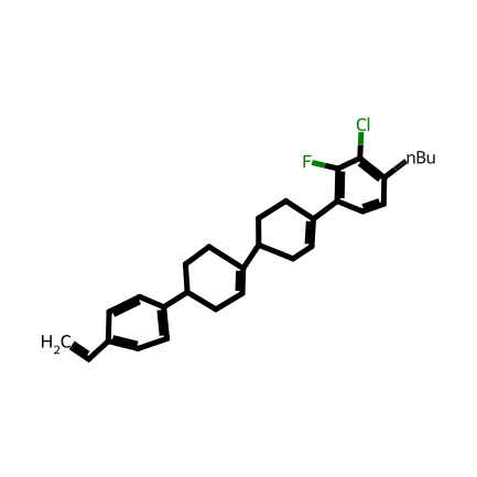 C=Cc1ccc(C2CC=C(C3CC=C(c4ccc(CCCC)c(Cl)c4F)CC3)CC2)cc1